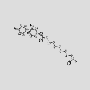 CC(=O)CCCCCCCCCC(=O)Oc1ccc(-c2ccc(F)cc2)c(F)c1